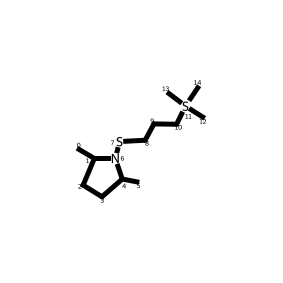 CC1CCC(C)N1SCCCS(C)(C)C